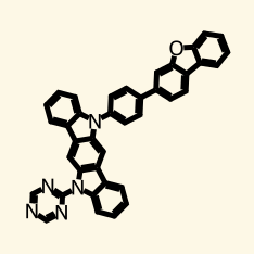 c1ccc2c(c1)oc1cc(-c3ccc(-n4c5ccccc5c5cc6c(cc54)c4ccccc4n6-c4ncncn4)cc3)ccc12